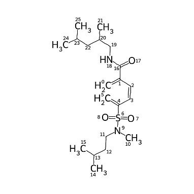 C=C(/C=C\C(=C)S(=O)(=O)N(C)CCC(C)C)C(=O)NCC(C)CC(C)C